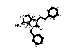 O=C1N(Cc2ccccc2)[C@@H]2C(O)SC[C@@H]2N1CCc1ccccc1